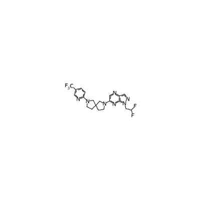 FC(F)Cn1ncc2ncc(N3CCC4(CCN(c5ccc(C(F)(F)F)cn5)C4)C3)nc21